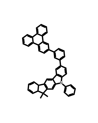 CC1(C)c2cc3c(cc2C2C=CC=CC21)c1cc(-c2cccc(-c4ccc5c6ccccc6c6ccccc6c5c4)c2)ccc1n3-c1ccccc1